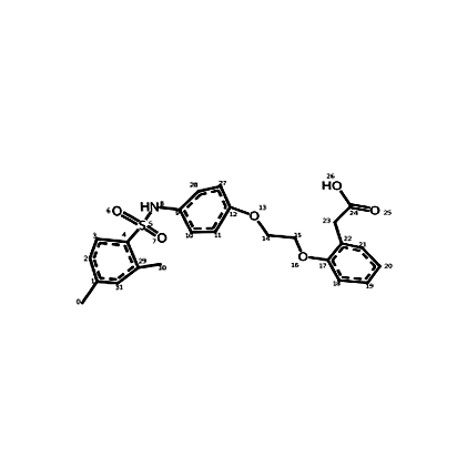 Cc1ccc(S(=O)(=O)Nc2ccc(OCCOc3ccccc3CC(=O)O)cc2)c(C)c1